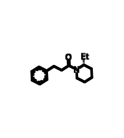 CC[C@@H]1CCCCN1C(=O)CCc1ccccc1